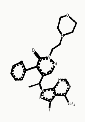 CC(c1cnn(CCN2CCOCC2)c(=O)c1-c1ccccc1)n1nc(I)c2c(N)ncnc21